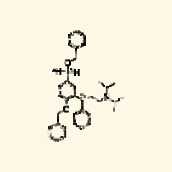 [2H]C([2H])(OCc1ccccc1)c1ccc(OCc2ccccc2)c([C@H](CCN(C(C)C)C(C)C)c2ccccc2)c1